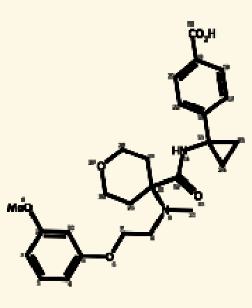 COc1cccc(OCCN(C)C2(C(=O)NC3(c4ccc(C(=O)O)cc4)CC3)CCOCC2)c1